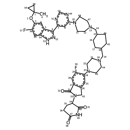 CC1(Oc2cc3c(-c4cc(N5CCN(CC6CCC(CN7CCN(c8cc9c(cc8F)C(=O)N(C8CCC(=O)NC8=O)C9)CC7)CC6)CC5)ncn4)n[nH]c3cc2F)CC1